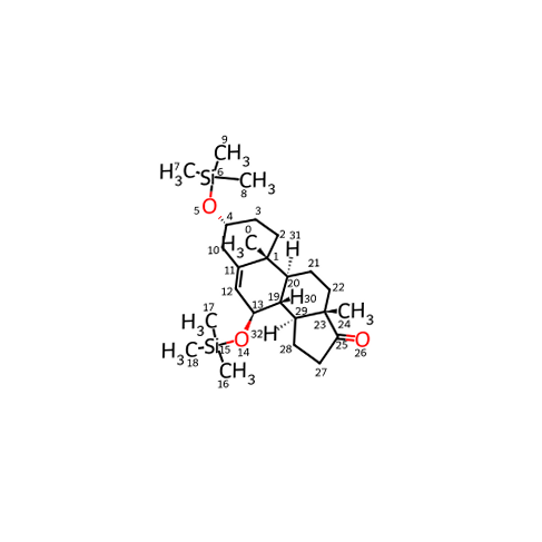 C[C@]12CC[C@@H](O[Si](C)(C)C)CC1=C[C@H](O[Si](C)(C)C)[C@@H]1[C@@H]2CC[C@]2(C)C(=O)CC[C@@H]12